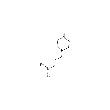 CCN(CC)CCCN1CCNCC1